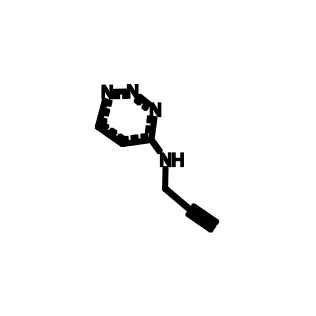 C#CCNc1ccnnn1